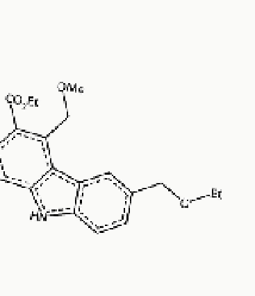 CCOCc1ccc2[nH]c3cnc(C(=O)OCC)c(COC)c3c2c1